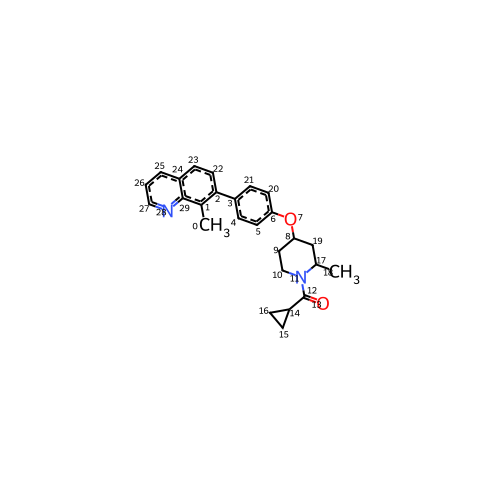 Cc1c(-c2ccc(OC3CCN(C(=O)C4CC4)C(C)C3)cc2)ccc2cccnc12